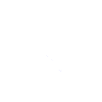 O=C(O)NCc1nn(-c2ccc(S(F)(F)(F)(F)F)cc2)c2ccccc12